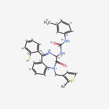 CC(=O)c1sccc1CN1C(=O)C(NC(=O)Nc2cccc(C)c2)N=C(c2ccccc2F)c2ccccc21